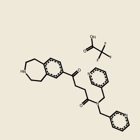 O=C(CCC(=O)N(Cc1cccnc1)Cc1cccnc1)c1ccc2c(c1)CCNCC2.O=C(O)C(F)(F)F